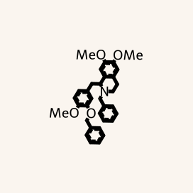 COc1cc2c(cc1OC)C(Cc1ccc(OC)c(OCc3ccccc3)c1)N(Cc1ccccc1)CC2